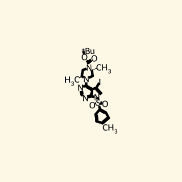 Cc1ccc(S(=O)(=O)n2cc(I)c3c(N4C[C@@H](C)N(C(=O)OC(C)(C)C)C[C@H]4C)ncnc32)cc1